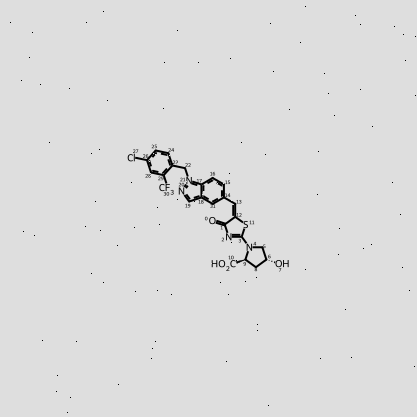 O=C1N=C(N2C[C@H](O)C[C@H]2C(=O)O)SC1=Cc1ccc2c(cnn2Cc2ccc(Cl)cc2C(F)(F)F)c1